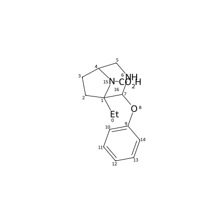 CCC12CCC(CNC1Oc1ccccc1)N2C(=O)O